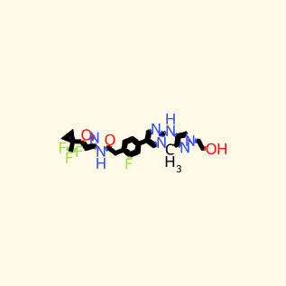 Cc1nn(CCO)cc1Nc1ncc(-c2ccc(CC(=O)Nc3cc(C4(C(F)(F)F)CC4)on3)c(F)c2)cn1